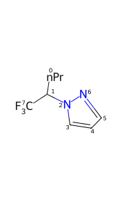 CCCC(n1cccn1)C(F)(F)F